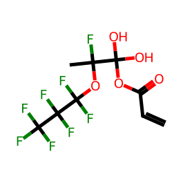 C=CC(=O)OC(O)(O)C(C)(F)OC(F)(F)C(F)(F)C(F)(F)F